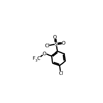 O=S(=O)(Cl)c1ccc(Cl)cc1OC(F)(F)F